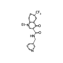 CCn1cc(C(=O)NCc2cccnc2)c(=O)c2cc(C(F)(F)F)ccc21